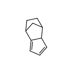 C1=CC2C(=C1)C1CCC2C1